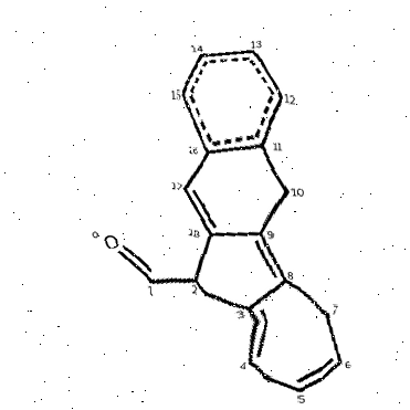 O=CC1C2=CC=CCC2=C2Cc3ccccc3C=C21